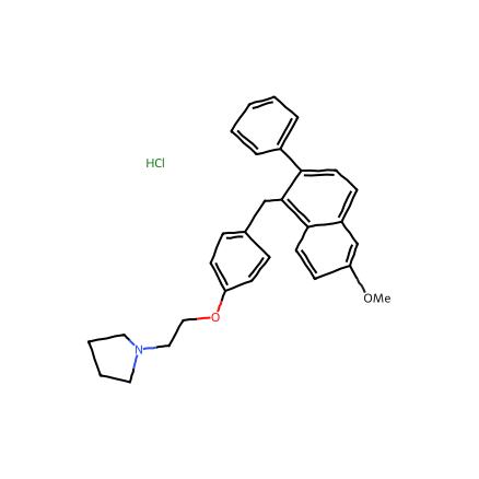 COc1ccc2c(Cc3ccc(OCCN4CCCC4)cc3)c(-c3ccccc3)ccc2c1.Cl